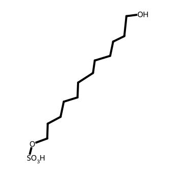 O=S(=O)(O)OCCCCCCCCCCCCO